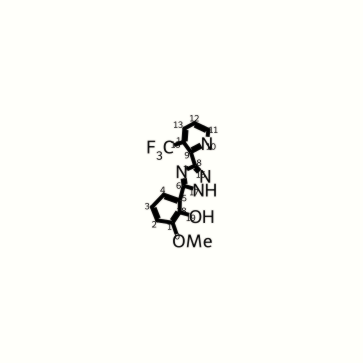 COc1cccc(-c2nc(-c3ncccc3C(F)(F)F)n[nH]2)c1O